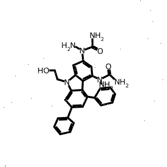 NC(=O)N(N)c1cc(N(N)C(N)=O)c2c3c(-c4ccccc4)cc(-c4ccccc4)cc3n(CCO)c2c1